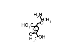 CC(CN)OCC1=C(C(=O)O)N2C(=O)C(C(C)O)C2C1